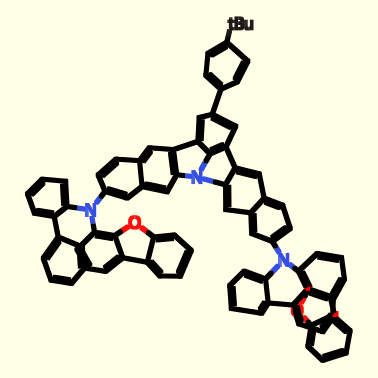 CC(C)(C)c1ccc(-c2cc3c4cc5ccc(N(c6ccccc6-c6ccccc6)c6cccc7c6oc6ccccc67)cc5cc4n4c5cc6cc(N(c7ccccc7-c7ccccc7)c7cccc8c7oc7ccccc78)ccc6cc5c(c2)c34)cc1